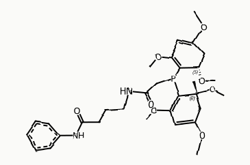 COC1=CC(OC)=C(P(CC(=O)NCCCC(=O)Nc2ccccc2)C2=C(OC)C=C(OC)C[C@@]2(C)OC)[C@@H](OC)C1